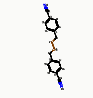 N#Cc1ccc(CSSCc2ccc(C#N)cc2)cc1